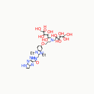 CCn1c(CNC(=O)c2nc3cc[nH]c3nc2N)[n+](CC)c2cc(OCCCN(C[C@H](O)[C@@H](O)[C@H](O)[C@H](O)CO)C[C@H](O)[C@@H](O)[C@H](O)[C@H](O)CO)ccc21